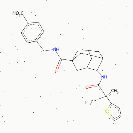 CC(C)(C(=O)NC1C2CC3CC1CC(C(=O)NCc1ccc(C(=O)O)cc1)(C3)C2)c1cccs1